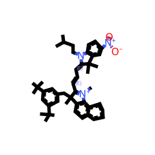 CC(C)CCN1/C(=C/C=C/C2=[N+](C)c3c(ccc4ccccc34)C2(C)Cc2cc(C(C)(C)C)cc(C(C)(C)C)c2)C(C)(C)c2cc([N+](=O)[O-])ccc21